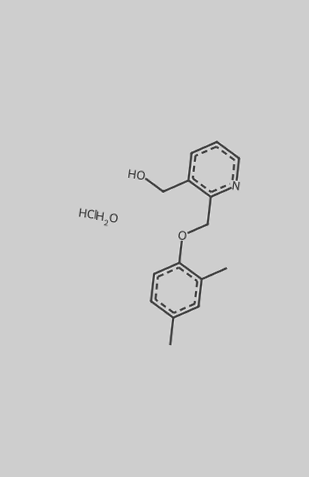 Cc1ccc(OCc2ncccc2CO)c(C)c1.Cl.O